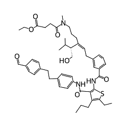 CCCc1c(CC)sc(NC(=O)c2cccc(C/C=C(/CCCN(C)C(=O)CCC(=O)OCC)[C@H](CO)C(C)C)c2)c1C(=O)Nc1ccc(CCc2ccc(C=O)cc2)cc1